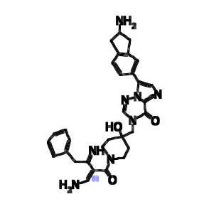 N=C(Cc1ccccc1)/C(=C\N)C(=O)N1CCC(O)(Cn2cnn3c(-c4ccc5c(c4)CC(N)C5)cnc3c2=O)CC1